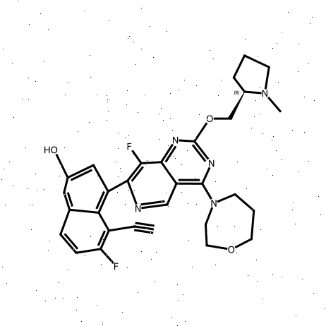 C#Cc1c(F)ccc2cc(O)cc(-c3ncc4c(N5CCCOCC5)nc(OC[C@H]5CCCN5C)nc4c3F)c12